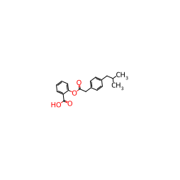 CC(C)Cc1ccc(CC(=O)Oc2ccccc2C(=O)O)cc1